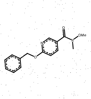 CON(C)C(=O)c1ccc(OCc2ccccc2)nc1